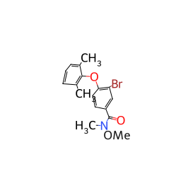 CON(C)C(=O)c1ccc(Oc2c(C)cccc2C)c(Br)c1